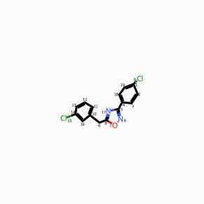 Clc1ccc(-c2noc(Cc3cccc(Cl)c3)n2)cc1